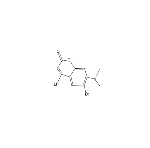 CCc1cc2c(CC)cc(=O)oc2cc1N(C)C